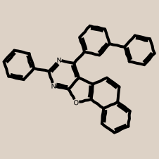 c1ccc(-c2cccc(-c3nc(-c4ccccc4)nc4oc5c6ccccc6ccc5c34)c2)cc1